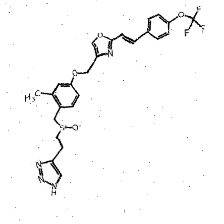 Cc1cc(OCc2coc(C=Cc3ccc(OC(F)(F)F)cc3)n2)ccc1C[S+]([O-])CCc1c[nH]nn1